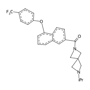 CC(C)N1CC2(CN(C(=O)c3ccc4c(Oc5ccc(C(F)(F)F)cc5)cccc4c3)C2)C1